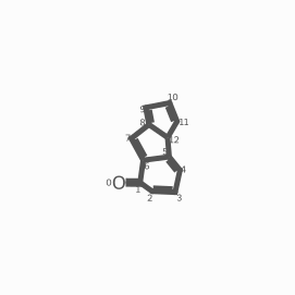 O=C1C=CC=C2C1=CC1=CC=CC12